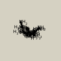 CSCC[C@H](NC(=O)CNC(=O)[C@@H](N)CCCCN)C(=O)N[C@@H](CC(=O)O)C(=O)N[C@@H](Cc1ccc(O)cc1)C(=O)N[C@H](C(=O)N[C@H](C(=O)N[C@@H](CCCNC(=N)N)C(=O)O)C(C)C)[C@@H](C)O